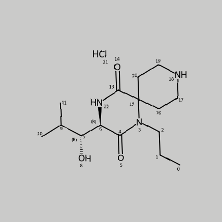 CCCN1C(=O)[C@@H]([C@H](O)C(C)C)NC(=O)C12CCNCC2.Cl